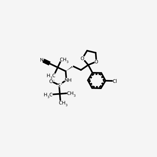 CC(C)(C#N)[C@H](CCC1(c2cccc(Cl)c2)OCCO1)N[S+]([O-])C(C)(C)C